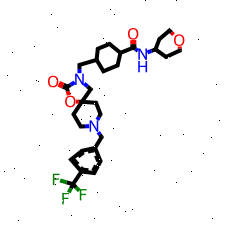 O=C(NC1CCOCC1)C1CCC(CN2CC3(CCN(Cc4ccc(C(F)(F)F)cc4)CC3)OC2=O)CC1